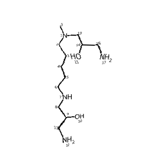 CN(CCCCCNCC(O)CN)CC(O)CN